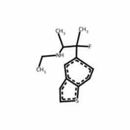 CCNC(C)C(C)(F)c1ccc2sccc2c1